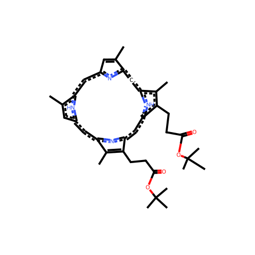 CC1=Cc2cc3[nH]c(cc4nc(cc5[nH]c(cc1n2)c(C)c5CCC(=O)OC(C)(C)C)C(CCC(=O)OC(C)(C)C)=C4C)cc3C